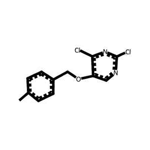 Cc1ccc(COc2cnc(Cl)nc2Cl)cc1